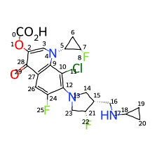 O=C(O)Oc1cn([C@@H]2C[C@@H]2F)c2c(Cl)c(N3C[C@H](CNC4CC4)[C@H](F)C3)c(F)cc2c1=O